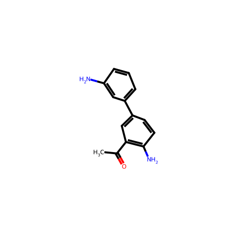 CC(=O)c1cc(-c2cccc(N)c2)ccc1N